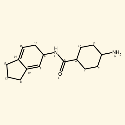 NC1CCC(C(=O)NC2C=C3CCCC3=CC2)CC1